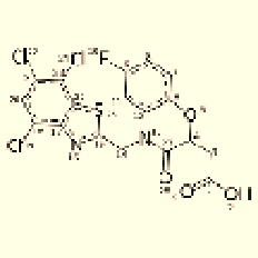 O=C(O)CC1Oc2ccc(F)cc2N(Cc2nc3c(Cl)cc(Cl)c(Cl)c3s2)C1=O